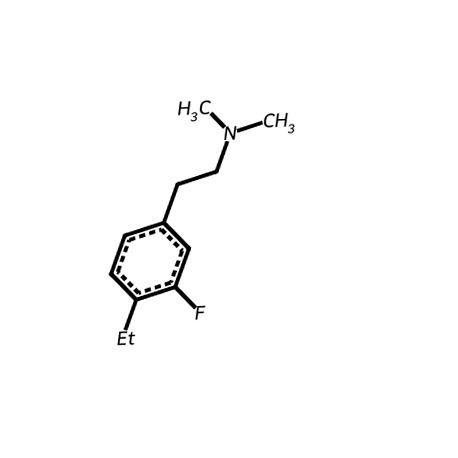 CCc1ccc(CCN(C)C)cc1F